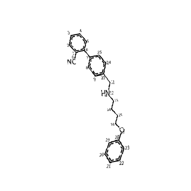 N#Cc1ccccc1-c1ccc(CNCCCCOc2ccccc2)cc1